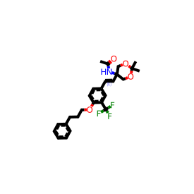 CC(=O)NC1(/C=C/c2ccc(OCCCc3ccccc3)c(C(F)(F)F)c2)COC(C)(C)OC1